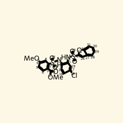 COC(=O)c1ccc(OC)cc1S(=O)(=O)Nc1ccc(Cl)cc1NS(=O)(=O)c1cc2ccccc2o1